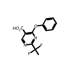 CC(F)(F)c1ncc(C(=O)O)c(Oc2ccccc2)n1